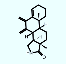 C=C1C(=C)[C@@H]2[C@@H](CC[C@]3(C)C(=O)NC[C@@H]23)[C@@]2(C)CCCC=C12